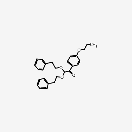 CCCOc1ccc(C(=O)C(OCCc2ccccc2)OCCc2ccccc2)cc1